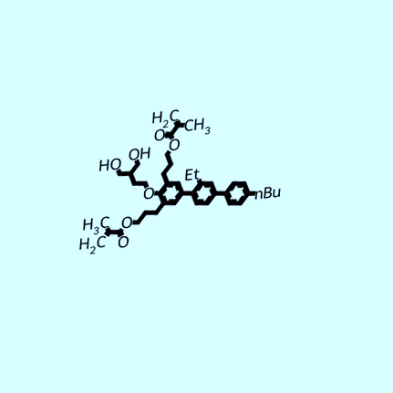 C=C(C)C(=O)OCCCc1cc(-c2ccc(-c3ccc(CCCC)cc3)cc2CC)cc(CCCOC(=O)C(=C)C)c1OCCC(CO)CO